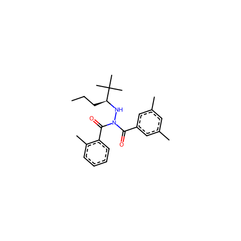 CCC[C@H](NN(C(=O)c1cc(C)cc(C)c1)C(=O)c1ccccc1C)C(C)(C)C